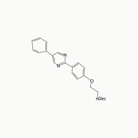 CCCCCCCCCCCCOc1ccc(-c2ncc(-c3ccccc3)cn2)cc1